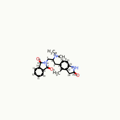 Cc1c(CC(CN2C(=O)c3ccccc3C2=O)N(C)C)ccc2c1CC(=O)N2